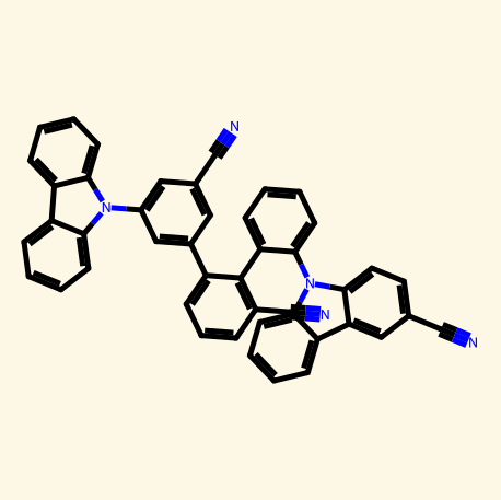 N#Cc1cc(-c2cccc(C#N)c2-c2ccccc2-n2c3ccccc3c3cc(C#N)ccc32)cc(-n2c3ccccc3c3ccccc32)c1